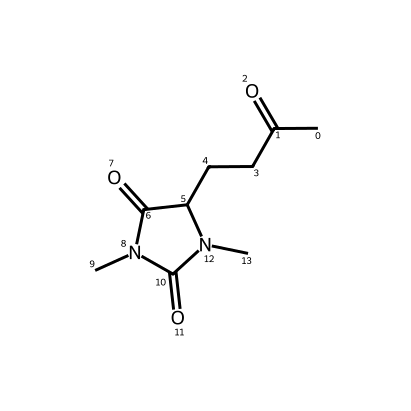 CC(=O)CCC1C(=O)N(C)C(=O)N1C